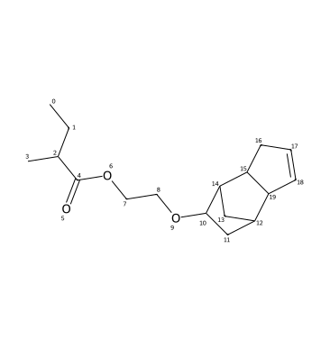 CCC(C)C(=O)OCCOC1CC2CC1C1CC=CC21